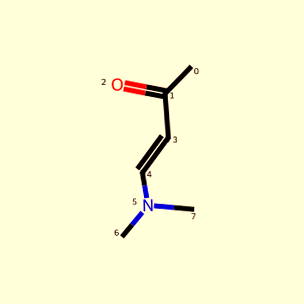 CC(=O)/[C]=C/N(C)C